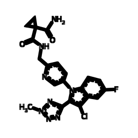 Cn1nnc(-c2c(Cl)c3cc(F)ccc3n2-c2ccc(CNC(=O)C3(C(N)=O)CC3)nc2)n1